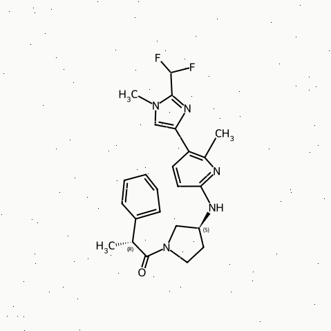 Cc1nc(N[C@H]2CCN(C(=O)[C@H](C)c3ccccc3)C2)ccc1-c1cn(C)c(C(F)F)n1